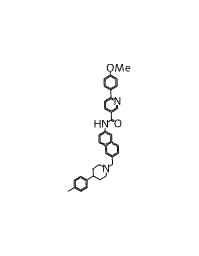 COc1ccc(-c2ccc(C(=O)Nc3ccc4cc(CN5CCC(c6ccc(C)cc6)CC5)ccc4c3)cn2)cc1